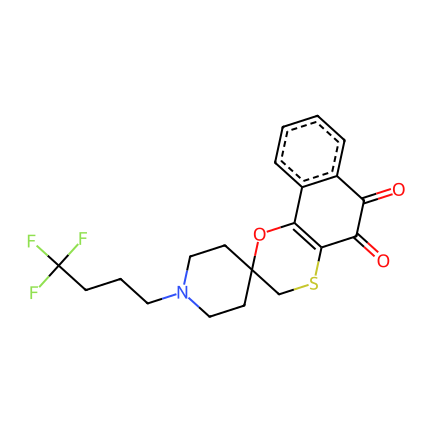 O=C1C(=O)c2ccccc2C2=C1SCC1(CCN(CCCC(F)(F)F)CC1)O2